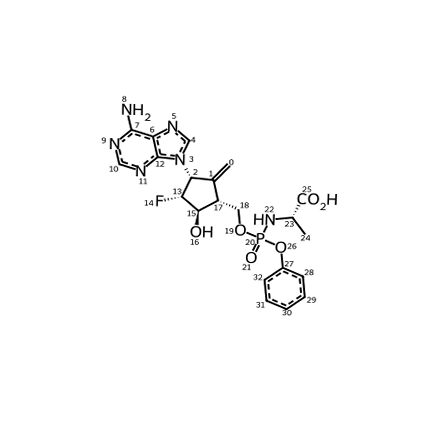 C=C1[C@@H](n2cnc3c(N)ncnc32)[C@@H](F)[C@H](O)[C@H]1COP(=O)(N[C@@H](C)C(=O)O)Oc1ccccc1